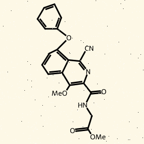 COC(=O)CNC(=O)c1nc(C#N)c2c(Oc3ccccc3)cccc2c1OC